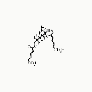 NC(N)(OC(=O)CCCCC(=O)O)C(F)(F)C(F)(F)C(F)(F)COC(=O)CCCCC(=O)O